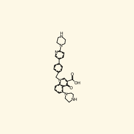 O=C(O)c1cn(Cc2ccc(-c3ccc(N4CCNCC4)nc3)cc2)c2cccc(N3CCNCC3)c2c1=O